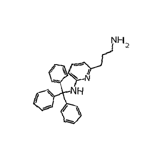 NCCCc1cccc(NC(c2ccccc2)(c2ccccc2)c2ccccc2)n1